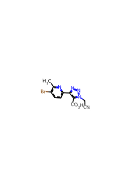 Cc1nc(-c2nnn(CC#N)c2C(=O)O)ccc1Br